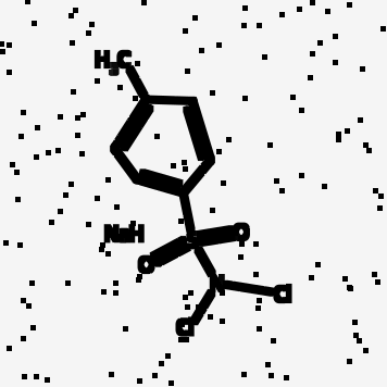 Cc1ccc(S(=O)(=O)N(Cl)Cl)cc1.[NaH]